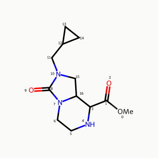 COC(=O)C1NCCN2C(=O)N(CC3CC3)CC12